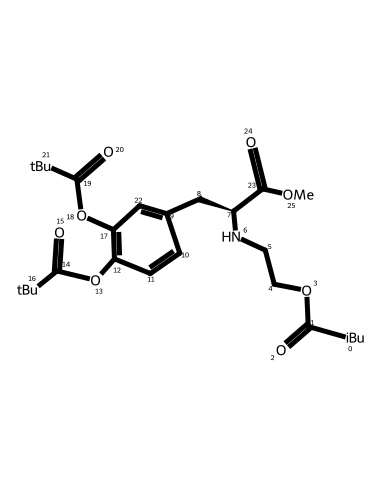 CCC(C)C(=O)OCCN[C@@H](Cc1ccc(OC(=O)C(C)(C)C)c(OC(=O)C(C)(C)C)c1)C(=O)OC